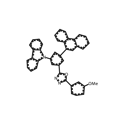 COc1cccc(-c2nnc(-c3cc(-c4cc5ccccc5c5ccccc45)cc(-n4c5ccccc5c5ccccc54)c3)o2)c1